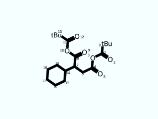 CC(C)(C)C(=O)OC(=O)CC(C(=O)OC(=O)C(C)(C)C)C1CCCCC1